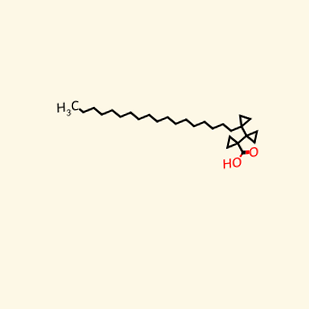 CCCCCCCCCCCCCCCCCCC1(C2(C3(C(=O)O)CC3)CC2)CC1